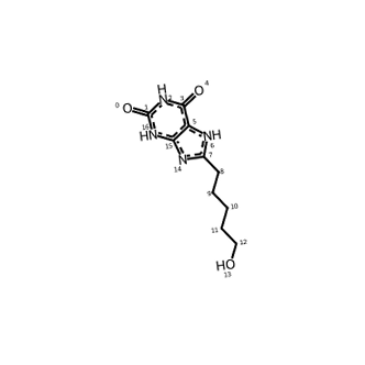 O=c1[nH]c(=O)c2[nH]c(CCCCCO)nc2[nH]1